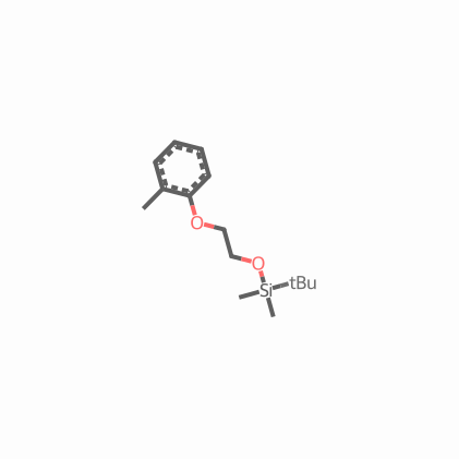 Cc1ccccc1OCCO[Si](C)(C)C(C)(C)C